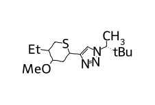 CCC1CSC(c2cn([C@H](C)C(C)(C)C)nn2)CC1OC